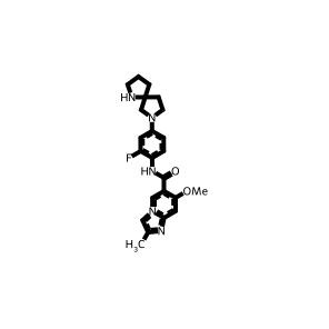 COc1cc2nc(C)cn2cc1C(=O)Nc1ccc(N2CCC3(CCCN3)C2)cc1F